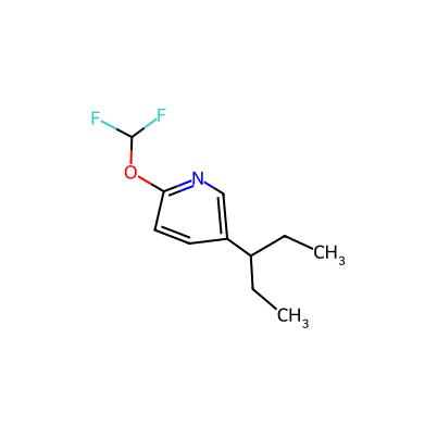 CCC(CC)c1ccc(OC(F)F)nc1